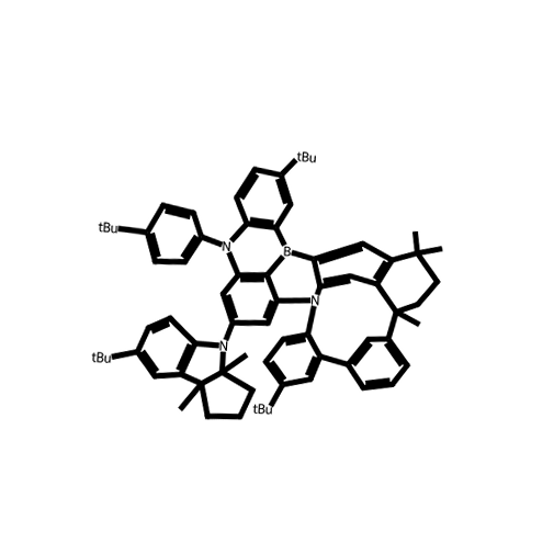 CC(C)(C)c1ccc(N2c3ccc(C(C)(C)C)cc3B3c4cc5c6cc4N(c4ccc(C(C)(C)C)cc4-c4cccc(c4)C6(C)CCC5(C)C)c4cc(N5c6ccc(C(C)(C)C)cc6C6(C)CCCC56C)cc2c43)cc1